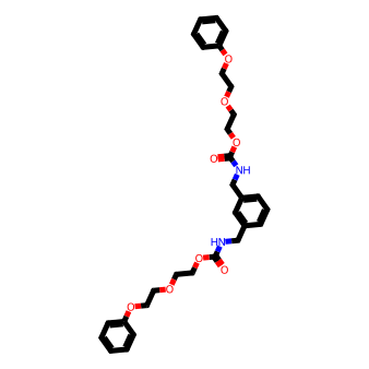 O=C(NCc1cccc(CNC(=O)OCCOCCOc2ccccc2)c1)OCCOCCOc1ccccc1